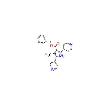 Cc1c(-c2ccncc2)[nH]c(-c2ccncc2)c1C(=O)OCc1ccccc1